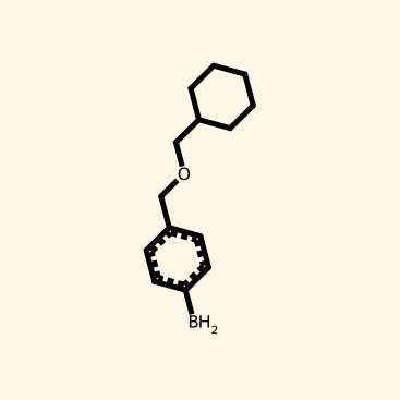 Bc1ccc(COCC2CCCCC2)cc1